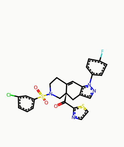 O=C(c1nccs1)[C@]12Cc3cnn(-c4ccc(F)cc4)c3C=C1CCN(S(=O)(=O)c1cccc(Cl)c1)C2